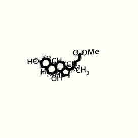 COC(=O)CC[C@@H](C)[C@H]1CCC2[C@H]3C(CC[C@@]21C)[C@@]1(C)CC[C@@H](O)C[C@H]1C[C@H]3O